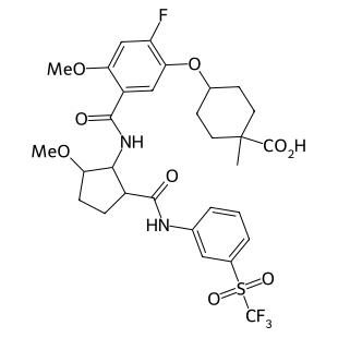 COc1cc(F)c(OC2CCC(C)(C(=O)O)CC2)cc1C(=O)NC1C(OC)CCC1C(=O)Nc1cccc(S(=O)(=O)C(F)(F)F)c1